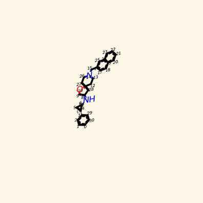 c1ccc([C@@H]2C[C@H]2NC2COC3(CCN(Cc4ccc5ccccc5c4)CC3)C2)cc1